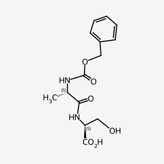 C[C@H](NC(=O)OCc1ccccc1)C(=O)N[C@@H](CO)C(=O)O